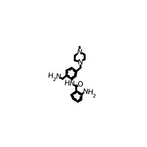 CN1CCN(Cc2ccc(CN)c(NC(=O)c3ccccc3N)c2)CC1